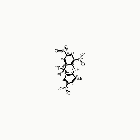 O=[N+]([O-])c1cc(F)c(Nc2c([N+](=O)[O-])cc([N+](=O)[O-])cc2C(F)(F)F)c(Br)c1